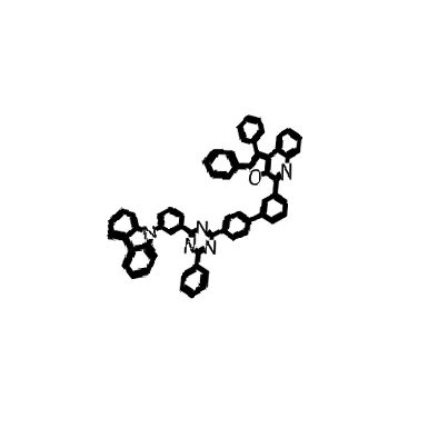 c1ccc(-c2nc(-c3ccc(-c4cccc(-c5nc6ccccc6c6c(-c7ccccc7)c(-c7ccccc7)oc56)c4)cc3)nc(-c3cccc(-n4c5ccccc5c5ccccc54)c3)n2)cc1